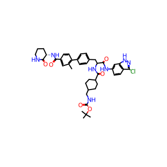 Cc1cc(C(=O)N[C@H]2CCCNC2=O)ccc1-c1ccc(CC(NC(=O)C2CCC(CNC(=O)OC(C)(C)C)CC2)C(=O)Nc2ccc3c(Cl)n[nH]c3c2)cc1